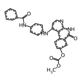 COC(=O)Oc1ccc2c(c1)c(=O)[nH]c1nccc(Nc3ccc(NC(=O)c4ccccc4)cc3)c12